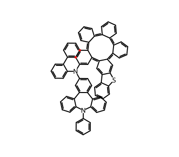 c1ccc(-c2ccccc2N(c2ccc3c(c2)-c2ccccc2N(c2ccccc2)c2ccccc2-3)c2ccc3c4ccccc4c4ccccc4c4ccccc4c4cc5sc6ccccc6c5cc4c3c2)cc1